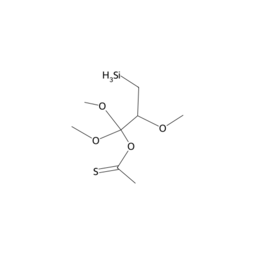 COC(C[SiH3])C(OC)(OC)OC(C)=S